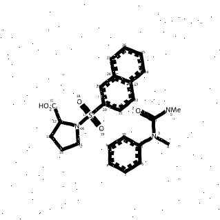 CNC(=O)N(C)c1ccccc1.O=C(O)C1CCCN1S(=O)(=O)c1ccc2ccccc2c1